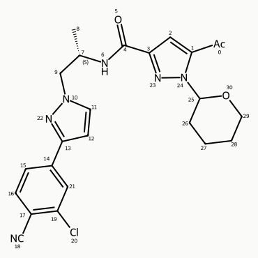 CC(=O)c1cc(C(=O)N[C@@H](C)Cn2ccc(-c3ccc(C#N)c(Cl)c3)n2)nn1C1CCCCO1